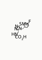 CSc1nnc(CNC(=O)O)n1Cc1ccc(F)cc1